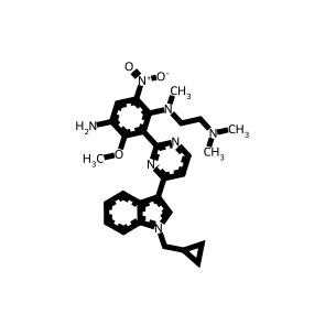 COc1c(N)cc([N+](=O)[O-])c(N(C)CCN(C)C)c1-c1nccc(-c2cn(CC3CC3)c3ccccc23)n1